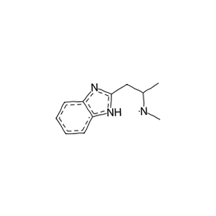 C[N]C(C)Cc1nc2ccccc2[nH]1